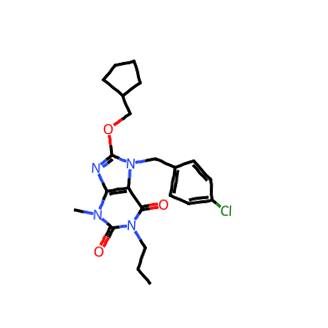 CCCn1c(=O)c2c(nc(OCC3CCCC3)n2Cc2ccc(Cl)cc2)n(C)c1=O